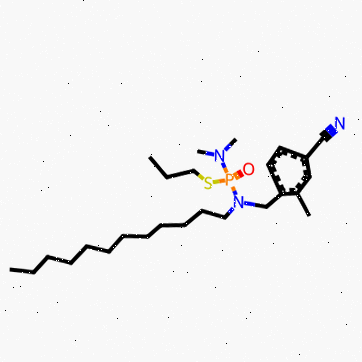 CCCCCCCCCCCCN(Cc1ccc(C#N)cc1C)P(=O)(SCCC)N(C)C